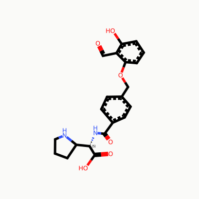 O=Cc1c(O)cccc1OCc1ccc(C(=O)N[C@H](C(=O)O)C2CCCN2)cc1